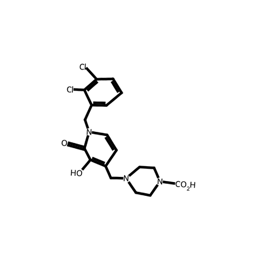 O=C(O)N1CCN(Cc2ccn(Cc3cccc(Cl)c3Cl)c(=O)c2O)CC1